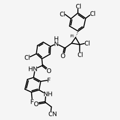 N#CCC(=O)Nc1c(F)ccc(NC(=O)c2cc(NC(=O)C3[C@H](c4cc(Cl)c(Cl)c(Cl)c4)C3(Cl)Cl)ccc2Cl)c1F